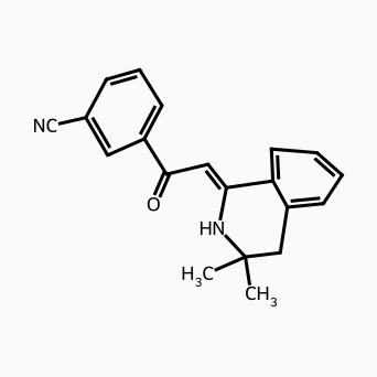 CC1(C)Cc2ccccc2/C(=C/C(=O)c2cccc(C#N)c2)N1